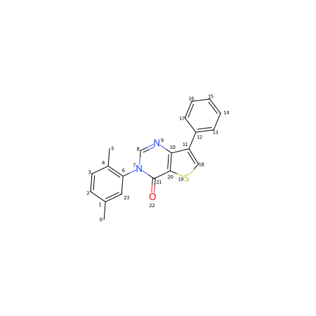 Cc1ccc(C)c(-n2cnc3c(-c4ccccc4)csc3c2=O)c1